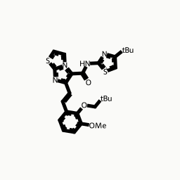 COc1cccc(/C=C/c2nc3sccn3c2C(=O)Nc2nc(C(C)(C)C)cs2)c1OCC(C)(C)C